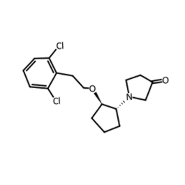 O=C1CCN([C@@H]2CCC[C@H]2OCCc2c(Cl)cccc2Cl)C1